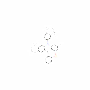 Cc1cc2c3c(c1)N(c1ccc4c(c1)C(C)(C)CCC4(C)C)c1cc4c(cc1B3c1ccccc1O2)CC(C)(C)CC4(C)C